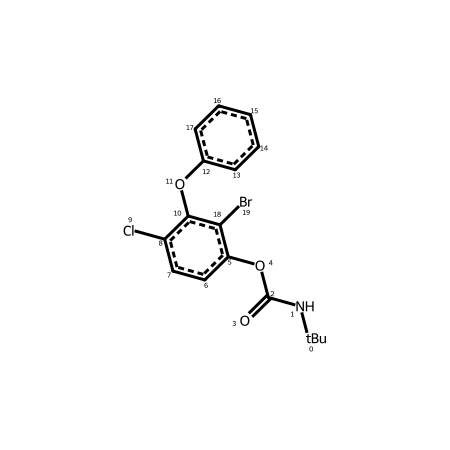 CC(C)(C)NC(=O)Oc1ccc(Cl)c(Oc2ccccc2)c1Br